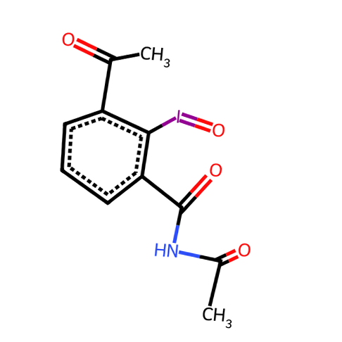 CC(=O)NC(=O)c1cccc(C(C)=O)c1I=O